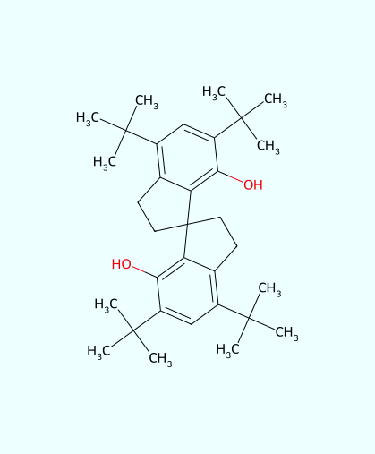 CC(C)(C)c1cc(C(C)(C)C)c2c(c1O)C1(CC2)CCc2c(C(C)(C)C)cc(C(C)(C)C)c(O)c21